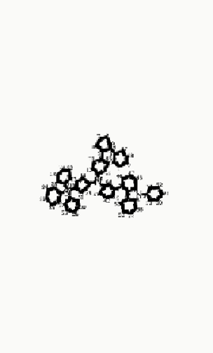 c1ccc(-c2ccccc2-c2ccc(N(c3ccc([Si](c4ccccc4)(c4ccccc4)c4ccccc4)cc3)c3cccc(-c4cccc5c4c4ccccc4n5-c4ccccc4)c3)cc2)cc1